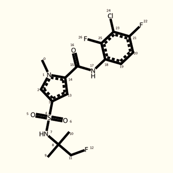 Cn1cc(S(=O)(=O)NC(C)(C)CF)cc1C(=O)Nc1ccc(F)c(Cl)c1F